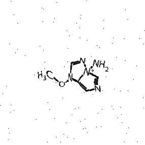 CON1C=N[N+]2(N)C=NC=C12